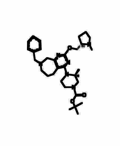 C[C@H]1CN(C(=O)OC(C)(C)C)CCN1c1nc(OC[C@@H]2CCCN2C)nc2c1CCCN(Cc1ccccc1)C2